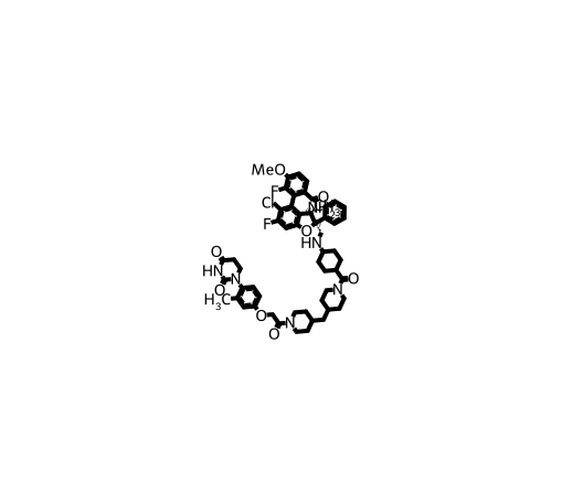 COc1ccc(C(N)=O)c(-c2c(Cl)c(F)cc3c2[C@H](C)[C@@](CNC2CCC(C(=O)N4CCC(CC5CCN(C(=O)COc6ccc(N7CCC(=O)NC7=O)c(C)c6)CC5)CC4)CC2)(c2ccccc2)O3)c1F